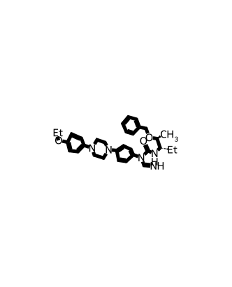 CCOc1ccc(N2CCN(c3ccc(N(C=N)C(=O)N[C@@H](CC)[C@H](C)OCc4ccccc4)cc3)CC2)cc1